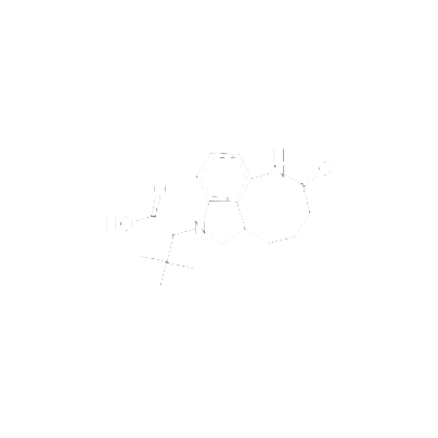 CC(C)(C)C(C(=O)O)N1CC2CCCC(=O)Nc3cccc1c32